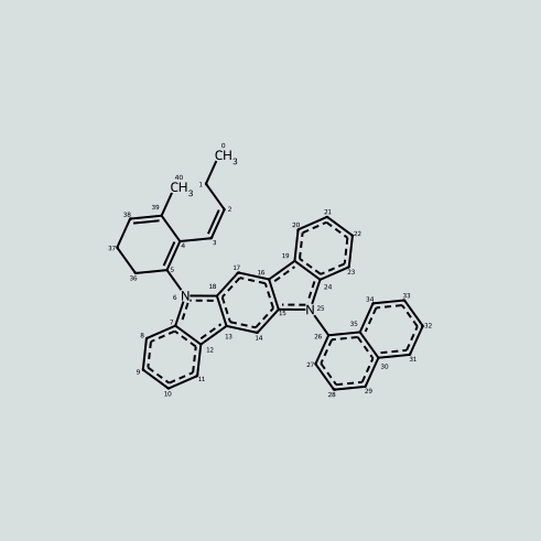 CC/C=C\C1=C(n2c3ccccc3c3cc4c(cc32)c2ccccc2n4-c2cccc3ccccc23)CCC=C1C